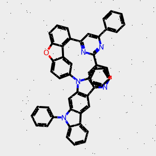 c1ccc(-c2cc(-c3cccc4oc5ccc(-n6c7cc8c(cc7c7ncccc76)c6ccccc6n8-c6ccccc6)cc5c34)nc(-c3ccccc3)n2)cc1